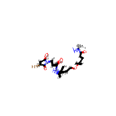 BNC(=O)CCC(C)(C)OCCC(C)(C)NC(=O)CCN1C(=O)CC(S)C1=O